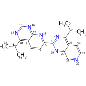 CC(C)c1nc(-c2ccc3c(C(C)C)ncnc3n2)nc2cnccc12